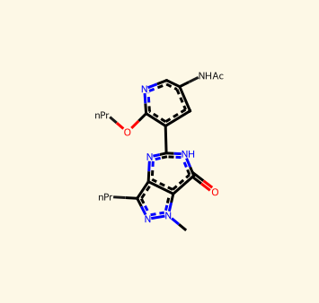 CCCOc1ncc(NC(C)=O)cc1-c1nc2c(CCC)nn(C)c2c(=O)[nH]1